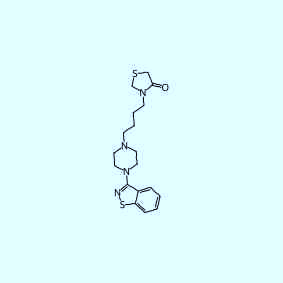 O=C1CSCN1CCCCN1CCN(c2nsc3ccccc23)CC1